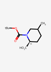 CC1CC[C@@H](C(=O)O)N(C(=O)OC(C)(C)C)C1